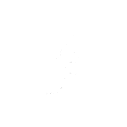 O=C(Oc1cccc2c1C(=O)OC2C1CCCCC1)c1ccc(OC(F)(F)F)cc1